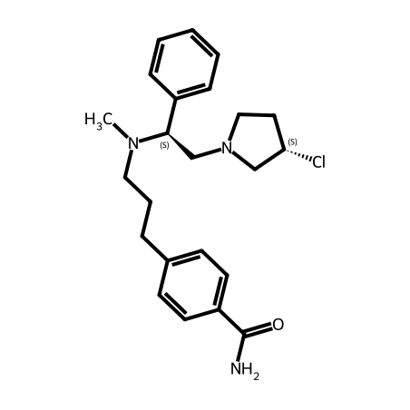 CN(CCCc1ccc(C(N)=O)cc1)[C@H](CN1CC[C@H](Cl)C1)c1ccccc1